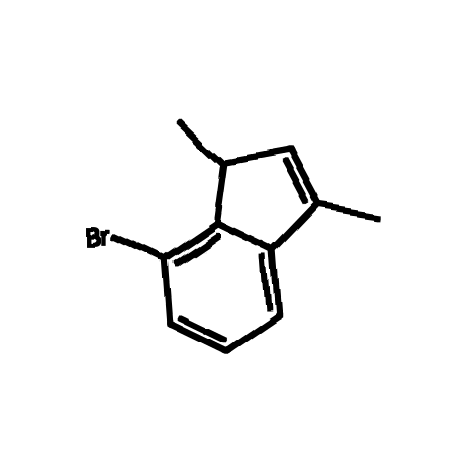 CC1=CC(C)c2c(Br)cccc21